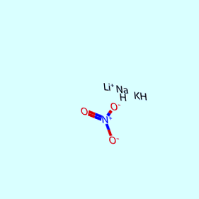 O=[N+]([O-])[O-].[KH].[Li+].[NaH]